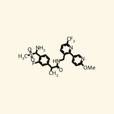 COc1ccc(-c2nc(C(F)(F)F)ccc2CNC(=O)C(C)c2ccc(C(N)S(C)(=O)=O)c(F)c2)cn1